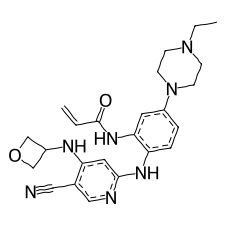 C=CC(=O)Nc1cc(N2CCN(CC)CC2)ccc1Nc1cc(NC2COC2)c(C#N)cn1